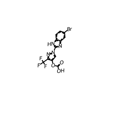 O=C(O)Oc1cn(-c2nc3cc(Br)ccc3[nH]2)nc1C(F)(F)F